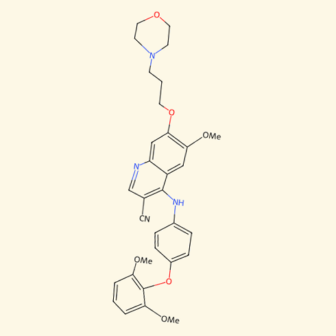 COc1cc2c(Nc3ccc(Oc4c(OC)cccc4OC)cc3)c(C#N)cnc2cc1OCCCN1CCOCC1